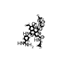 C=Cc1cc(C(=O)Nc2ccc(C(=N)N)cc2)c(-c2ccc(C(=O)NCC3CC3)nc2C(=O)OC(C)OC(=O)OC(C)C)cc1OC